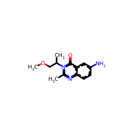 COCC(C)n1c(C)nc2ccc(N)cc2c1=O